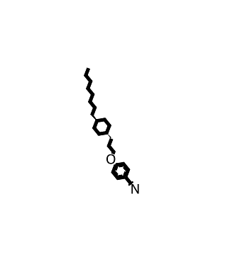 CCCCCCCC[C@H]1CC[C@H](CCCOc2ccc(C#N)cc2)CC1